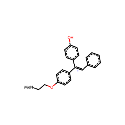 CNCCOc1ccc(/C(=C/c2ccccc2)c2ccc(O)cc2)cc1